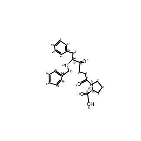 O=C(CCC(=O)N1CCC[C@H]1C(=O)O)[C@H](Cc1ccccc1)OCc1ccccc1